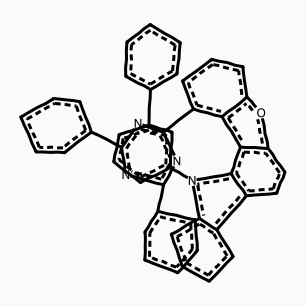 c1ccc(-c2cccc(-n3c4ccccc4c4ccc5oc6cccc(-c7nc(-c8ccccc8)nc(-c8ccccc8)n7)c6c5c43)c2)cc1